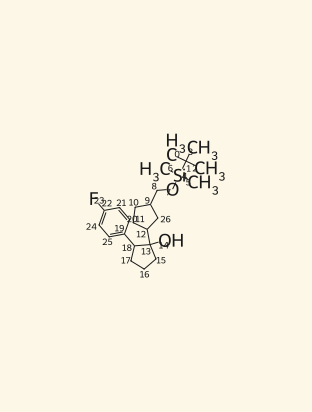 CC(C)(C)[Si](C)(C)OCC1CCC(C2(O)CCCC2c2ccc(F)cc2)C1